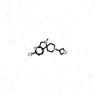 CN1Cc2nc(Cl)ccc2C12CCN(C1COC1)CC2